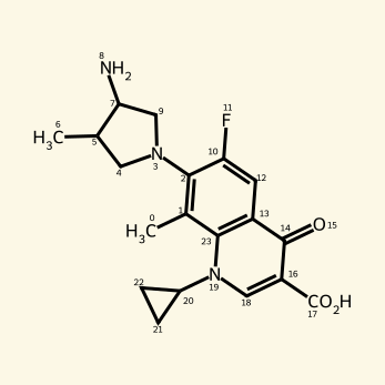 Cc1c(N2CC(C)C(N)C2)c(F)cc2c(=O)c(C(=O)O)cn(C3CC3)c12